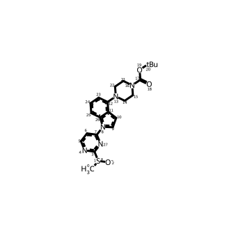 C[S+]([O-])c1nccc(-n2ccc3c(N4CCN(C(=O)OC(C)(C)C)CC4)cccc32)n1